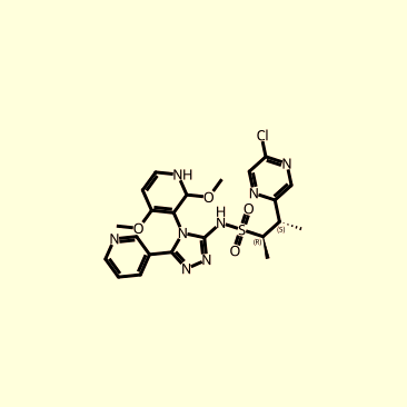 COC1=C(n2c(NS(=O)(=O)[C@H](C)[C@@H](C)c3cnc(Cl)cn3)nnc2-c2cccnc2)C(OC)NC=C1